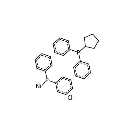 [Cl-].[Ni+][P](c1ccccc1)c1ccccc1.c1ccc(P(c2ccccc2)C2CCCC2)cc1